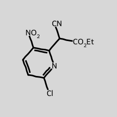 CCOC(=O)C(C#N)c1nc(Cl)ccc1[N+](=O)[O-]